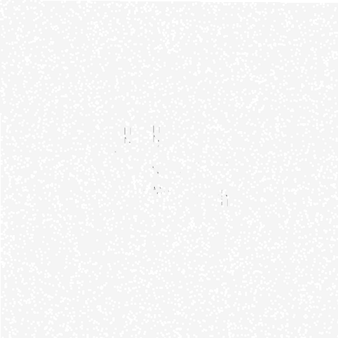 COc1ccccc1-c1c[nH]c2c1N=C(c1ccc3[nH]ccc3c1)CN2